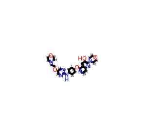 Oc1cc2c(OC3CCC(Nc4ncc(OCCN5CCOCC5)cn4)CC3)nccc2nc1N1CCOCC1